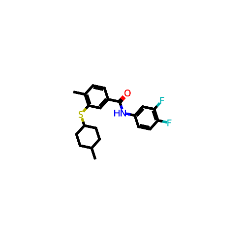 Cc1ccc(C(=O)Nc2ccc(F)c(F)c2)cc1SC1CCC(C)CC1